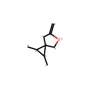 C=C1CC2(CO1)C(C)C2C